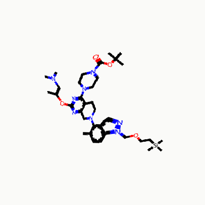 Cc1ccc2c(cnn2COCC[Si](C)(C)C)c1N1CCc2c(nc(OC(C)CN(C)C)nc2N2CCN(C(=O)OC(C)(C)C)CC2)C1